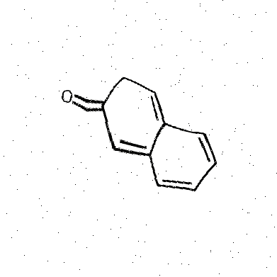 O=C1C=c2ccccc2=CC1